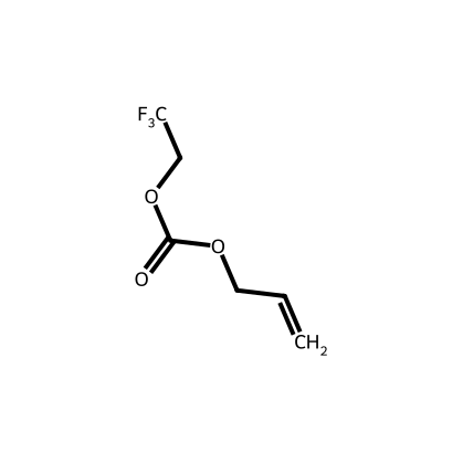 C=CCOC(=O)OCC(F)(F)F